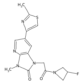 Cc1nc(-c2cnc3c(c2)n(CC(=O)N2CC(F)C2)c(=O)n3C)cs1